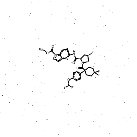 CC(C)(C)OC(=O)n1ncc2nc(NC(=O)[C@H]3C[C@@H](F)CN3C(=O)C3(c4ccc(OC(F)F)cc4)CCC(F)(F)CC3)ccc21